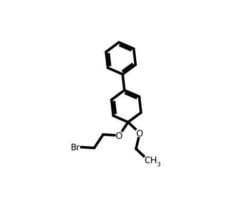 CCOC1(OCCBr)C=CC(c2ccccc2)=CC1